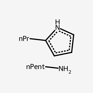 CCCCCN.CCCc1ccc[nH]1